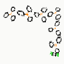 [Cl][Pd][Cl].[Cl][Ru][Cl].c1ccc(P(c2ccccc2)c2ccccc2)cc1.c1ccc(P(c2ccccc2)c2ccccc2)cc1.c1ccc(P(c2ccccc2)c2ccccc2)cc1.c1ccc(P(c2ccccc2)c2ccccc2)cc1.c1ccc(P(c2ccccc2)c2ccccc2)cc1.c1ccc(P(c2ccccc2)c2ccccc2)cc1